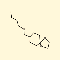 CCCCOCC1CCC2(CC1)OCCO2